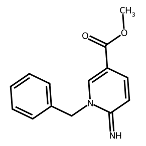 COC(=O)c1ccc(=N)n(Cc2ccccc2)c1